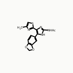 CC(=O)Nc1nc(-c2nc(C)cs2)c(-c2ccc3c(c2)OCO3)[nH]1